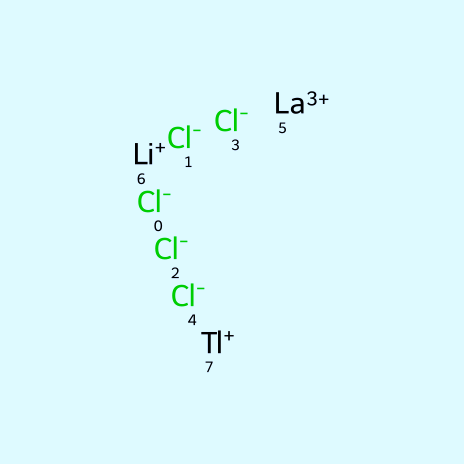 [Cl-].[Cl-].[Cl-].[Cl-].[Cl-].[La+3].[Li+].[Tl+]